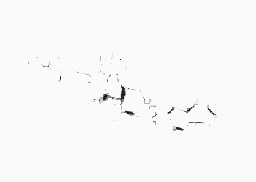 CC(CCC(=O)NC=O)N1Cc2cc(NC(=O)c3ccc4ccccc4c3)ccc2C1=O